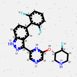 Fc1cccc(F)c1-c1ccc2[nH]nc(-c3cncc(O[C@H]4CNCCC4F)n3)c2c1